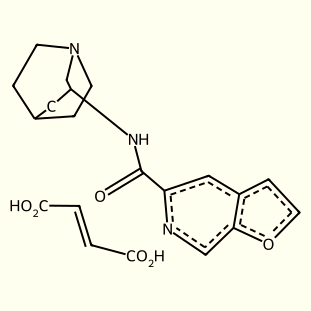 O=C(NC1CC2CCN(CC2)C1)c1cc2ccoc2cn1.O=C(O)C=CC(=O)O